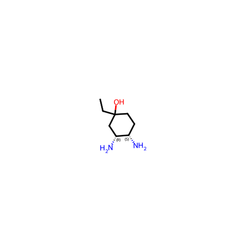 CCC1(O)CC[C@H](N)[C@H](N)C1